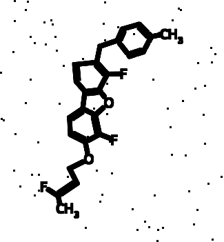 C/C(F)=C/COc1ccc2c(oc3c(F)c(Cc4ccc(C)cc4)ccc32)c1F